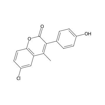 Cc1c(-c2ccc(O)cc2)c(=O)oc2ccc(Cl)cc12